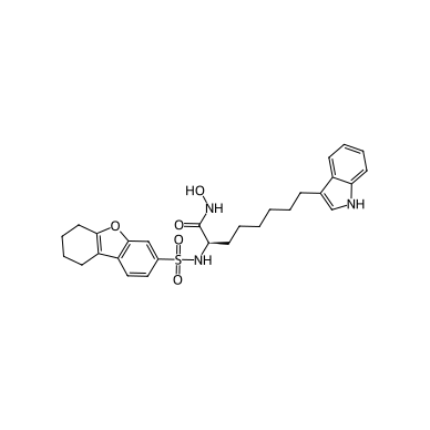 O=C(NO)[C@@H](CCCCCCc1c[nH]c2ccccc12)NS(=O)(=O)c1ccc2c3c(oc2c1)CCCC3